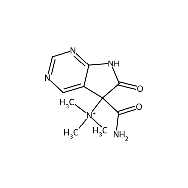 C[N+](C)(C)C1(C(N)=O)C(=O)Nc2ncncc21